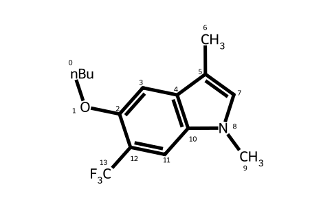 CCCCOc1cc2c(C)cn(C)c2cc1C(F)(F)F